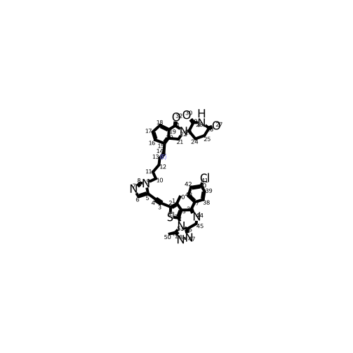 Cc1c(C#Cc2cncn2CCC/C=C/c2cccc3c2CN(C2CCC(=O)NC2=O)C3=O)sc2c1C(c1ccc(Cl)cc1)=NCc1nnc(C)n1-2